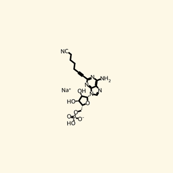 N#CCCCCC#Cc1nc(N)c2ncn([C@@H]3O[C@H](COP(=O)([O-])O)[C@@H](O)[C@H]3O)c2n1.[Na+]